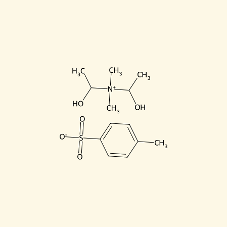 CC(O)[N+](C)(C)C(C)O.Cc1ccc(S(=O)(=O)[O-])cc1